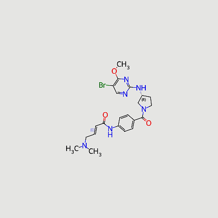 COc1nc(N[C@@H]2CCN(C(=O)c3ccc(NC(=O)/C=C/CN(C)C)cc3)C2)ncc1Br